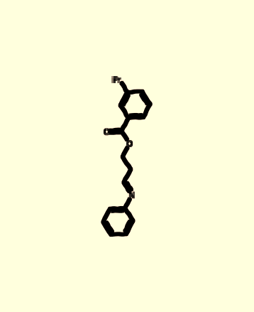 CC(C)c1cccc(C(=O)OCCC=Nc2ccccc2)c1